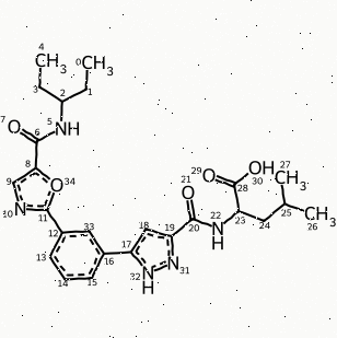 CCC(CC)NC(=O)c1cnc(-c2cccc(-c3cc(C(=O)NC(CC(C)C)C(=O)O)n[nH]3)c2)o1